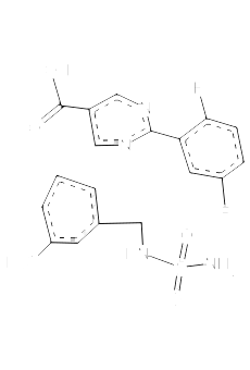 Cc1cccc(CNS(N)(=O)=O)c1.O=C(O)c1cnc(-c2cc(F)ccc2F)nc1